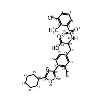 Cc1c(Cl)cccc1S(=O)(=O)NC(Cc1ccc(-c2noc(C3CCCCC3)n2)c(F)c1)C(=O)O